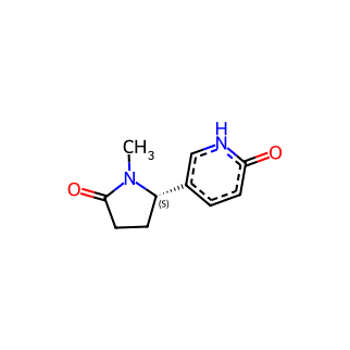 CN1C(=O)CC[C@H]1c1ccc(=O)[nH]c1